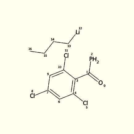 O=C(P)c1c(Cl)cc(Cl)cc1Cl.[Li][CH2]CCC